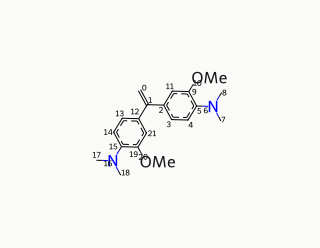 C=C(c1ccc(N(C)C)c(OC)c1)c1ccc(N(C)C)c(OC)c1